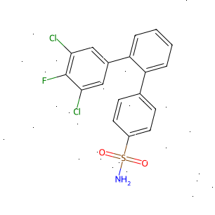 NS(=O)(=O)c1ccc(-c2ccccc2-c2cc(Cl)c(F)c(Cl)c2)cc1